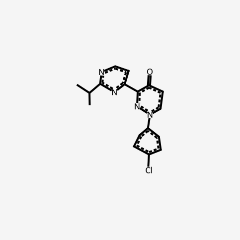 CC(C)c1nccc(-c2nn(-c3ccc(Cl)cc3)ccc2=O)n1